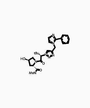 CNC(=O)[C@@H]1C[C@@H](O)CN1C(=O)[C@@H](n1cc(Cn2ccnc2-c2ccccc2)nn1)C(C)(C)C